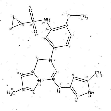 COc1ccc(N2C=C(Nc3cc(C)[nH]n3)[N+]3C=C(C)N=C3C2)cc1NS(=O)(=O)C1CC1